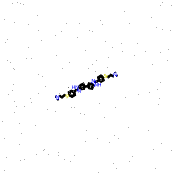 CN(C)CCCSc1ccc(-c2nc3cc(-c4ccc5[nH]c(-c6ccc(SCCCN(C)C)cc6)nc5c4)ccc3[nH]2)cc1